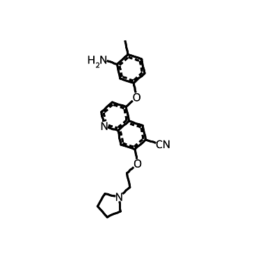 Cc1ccc(Oc2ccnc3cc(OCCN4CCCC4)c(C#N)cc23)cc1N